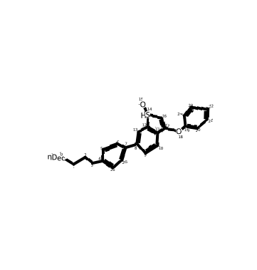 CCCCCCCCCCCCCc1ccc(-c2ccc3c(c2)[SH]([O])C=C3Oc2ccccc2)cc1